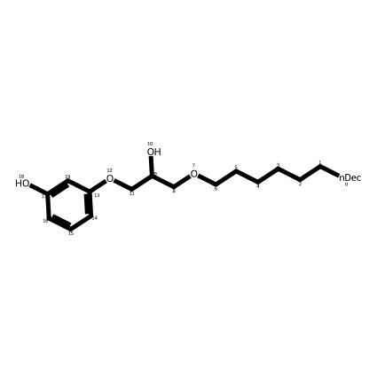 CCCCCCCCCCCCCCCCOCC(O)COc1cccc(O)c1